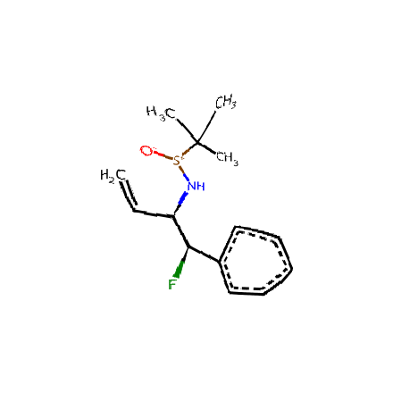 C=C[C@@H](N[S+]([O-])C(C)(C)C)[C@H](F)c1ccccc1